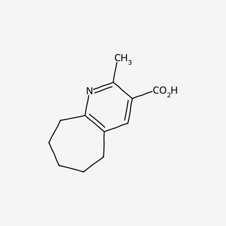 Cc1nc2c(cc1C(=O)O)CCCCC2